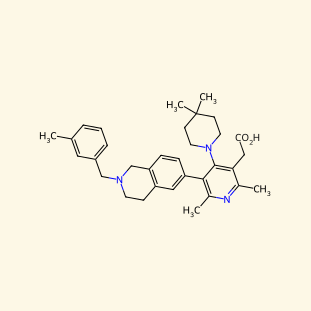 Cc1cccc(CN2CCc3cc(-c4c(C)nc(C)c(CC(=O)O)c4N4CCC(C)(C)CC4)ccc3C2)c1